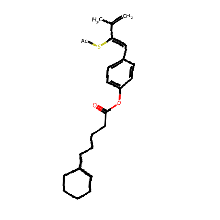 C=C(C)/C(=C/c1ccc(OC(=O)CCCCC2CCCCC2)cc1)SC(C)=O